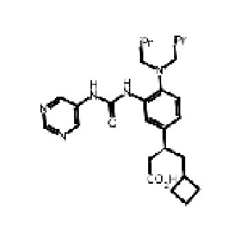 CC(C)CN(CC(C)C)c1ccc([C@H](CC(=O)O)CC2CCC2)cc1NC(=O)Nc1cncnc1